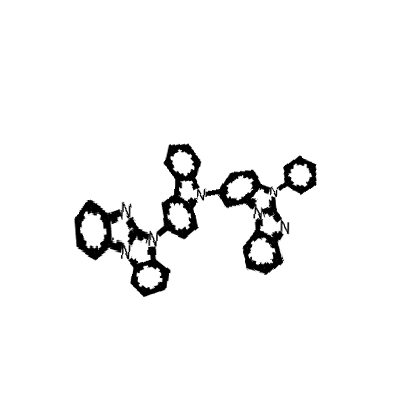 c1ccc(-n2c3ccc(-n4c5ccccc5c5cc(-n6c7ccccc7n7c8ccccc8nc67)ccc54)cc3n3c4ccccc4nc23)cc1